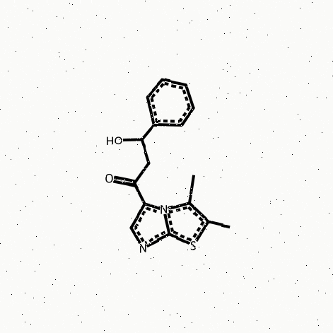 Cc1sc2ncc(C(=O)CC(O)c3ccccc3)n2c1C